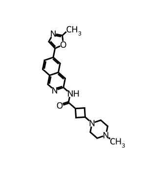 Cc1ncc(-c2ccc3cnc(NC(=O)C4CC(N5CCN(C)CC5)C4)cc3c2)o1